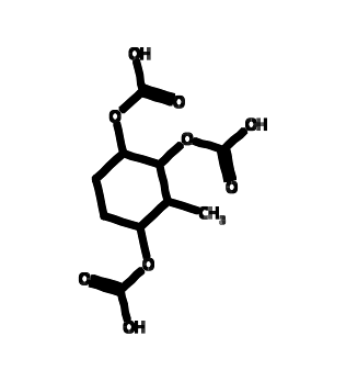 CC1C(OC(=O)O)CCC(OC(=O)O)C1OC(=O)O